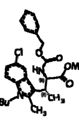 CCCCn1c(C)c([C@@H](C)[C@@H](NC(=O)OCc2ccccc2)C(=O)OC)c2cc(Cl)ccc21